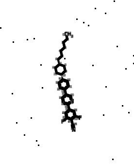 CCCCCCC[C@H]1CC[C@H](c2ccc(-c3cnc(-c4cc(F)c(C#N)c(F)c4)nc3)cc2)CC1